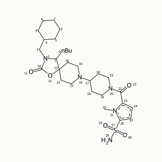 CCCCC1N(CC2CCCCC2)C(=O)OC12CCN(C1CCN(C(=O)c3ccc(S(N)(=O)=O)n3C)CC1)CC2